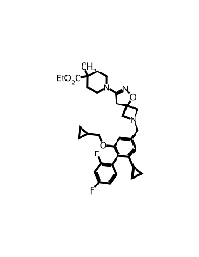 CCOC(=O)C1(C)CCN(C2=NOC3(C2)CN(Cc2cc(OCC4CC4)c(-c4ccc(F)cc4F)c(C4CC4)c2)C3)CC1